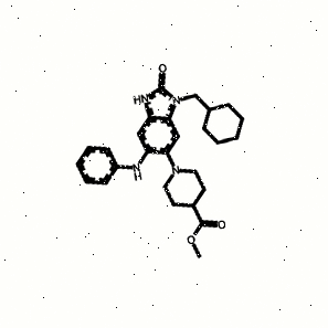 COC(=O)C1CCN(c2cc3c(cc2Nc2ccccc2)[nH]c(=O)n3CC2CCCCC2)CC1